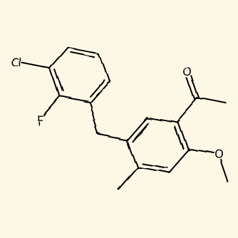 COc1cc(C)c(Cc2cccc(Cl)c2F)cc1C(C)=O